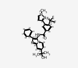 Cn1ccc(-c2cc(C(=O)Nc3c(-c4ccccc4)nc4cc(C(C)(C)O)ccn34)ccc2C(F)(F)F)n1